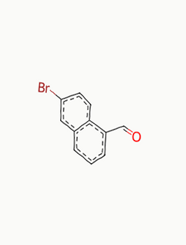 O=Cc1cccc2cc(Br)ccc12